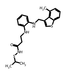 Cc1cccc2scc(CNc3ccccc3NCCC(=O)NSC(C)C)c12